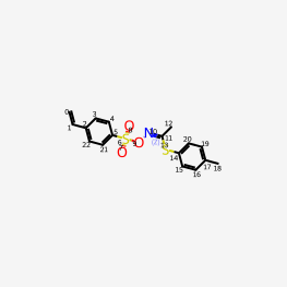 C=Cc1ccc(S(=O)(=O)O/N=C(/C)Sc2ccc(C)cc2)cc1